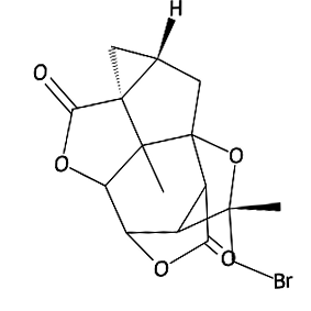 CC12C3OC(=O)[C@]14C[C@@H]4CC21O[C@](C)(CBr)C2C3OC(=O)C21